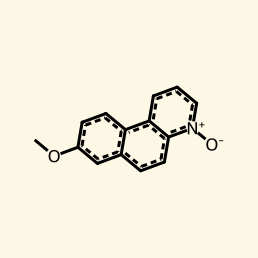 COc1ccc2c(ccc3c2ccc[n+]3[O-])c1